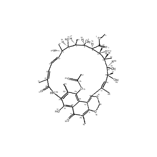 COC(=O)[C@@H]1[C@H](O)[C@H](C)[C@H](O)[C@H](C)/C=C/C=C(/C)C(=O)Nc2c(C)c(OC(C)=O)c3c(c2O)C(=O)C(C)=C2OCOC(=C23)/C(C)=C\[C@@](C)(O)[C@H](O)[C@@H](C)[C@H]1O